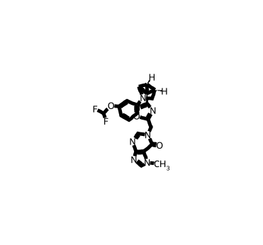 Cn1cnc2ncn(Cc3nc([C@@]45C6[C@H]4[C@H]5CN6c4cccc(OC(F)F)c4)no3)c(=O)c21